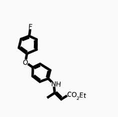 CCOC(=O)/C=C(/C)Nc1ccc(Oc2ccc(F)cc2)cc1